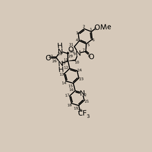 COc1ccc2c(c1)C(=O)N(C[C@@]1(c3ccc(-c4ccc(C(F)(F)F)cn4)cc3)NC(=O)NC1=O)C2